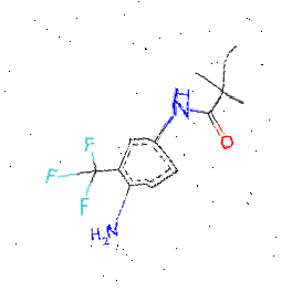 CC(C)(C)C(=O)Nc1ccc(N)c(C(F)(F)F)c1